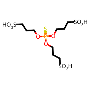 O=S(=O)(O)CCCOP(=S)(OCCCS(=O)(=O)O)OCCCS(=O)(=O)O